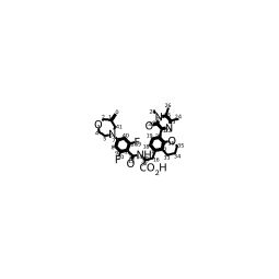 C=C1COCCN(c2cc(F)c(C(=O)N[C@@H](Cc3ccc(-c4nc(C)c(C)n(C)c4=O)c4c3CCCO4)C(=O)O)c(F)c2)C1